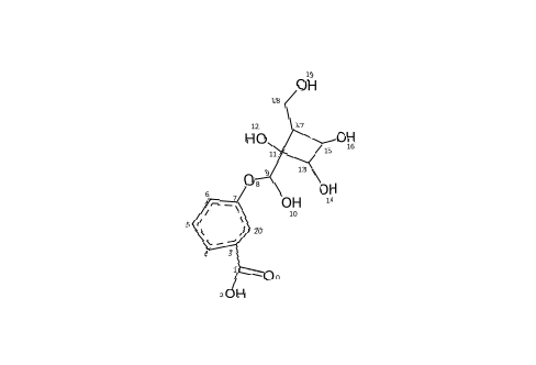 O=C(O)c1cccc(OC(O)C2(O)C(O)C(O)C2CO)c1